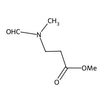 COC(=O)CCN(C)C=O